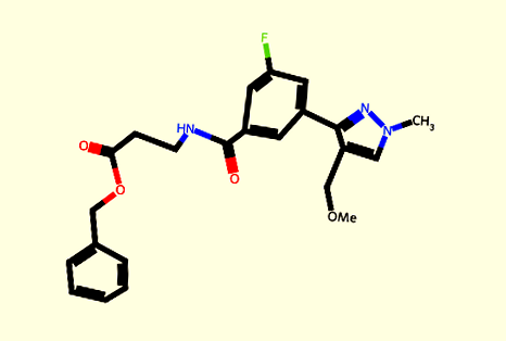 COCc1cn(C)nc1-c1cc(F)cc(C(=O)NCCC(=O)OCc2ccccc2)c1